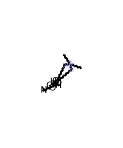 CCCCC/C=C\C/C=C\CCCCCCCCC1(CCCCCCCC/C=C\C/C=C\CCCCC)O[C@H]2CC(OC(=O)CCCN(C)C)C[C@H]2O1